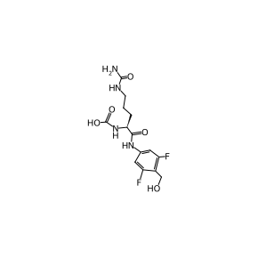 NC(=O)NCCC[C@H](NC(=O)O)C(=O)Nc1cc(F)c(CO)c(F)c1